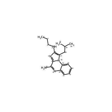 CCCNc1nc2c(N)nc3ccccc3n2c1CC(C)C